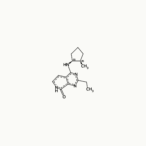 CCc1nc(N[C@H]2CCC[C@H]2C)c2cc[nH]c(=O)c2n1